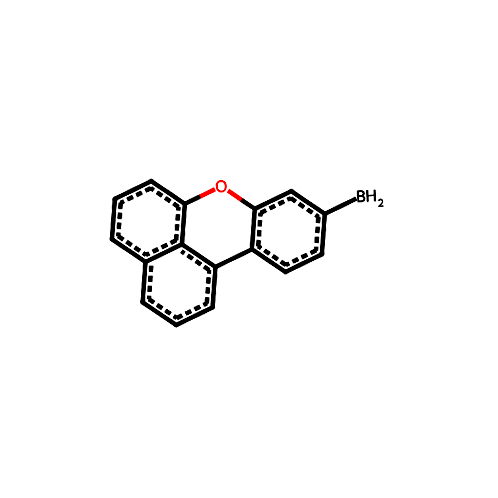 Bc1ccc2c(c1)Oc1cccc3cccc-2c13